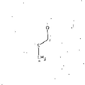 CSC[O]